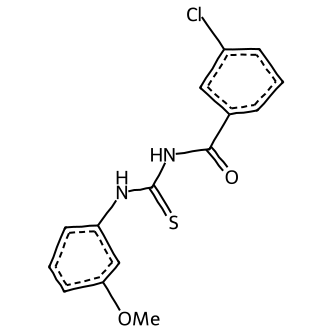 COc1cccc(NC(=S)NC(=O)c2cccc(Cl)c2)c1